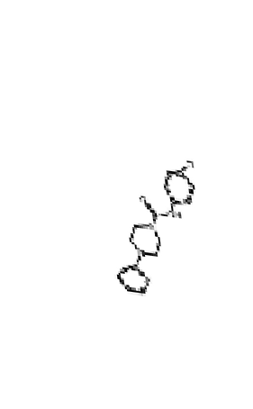 O=C(Nc1ccc(Cl)cc1)N1CCN(c2ccccn2)CC1